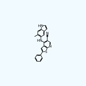 Cc1cc2[nH]ccc2cc1Nc1c(C#N)cnc2sc(-c3ccccc3)cc12